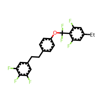 CCc1cc(F)c(C(F)(F)Oc2ccc(CCc3cc(F)c(F)c(F)c3)cc2)c(F)c1